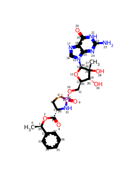 C[C@@H](OC(=O)[C@@H]1CS[P@](=O)(OC[C@H]2O[C@@H](n3cnc4c(=O)[nH]c(N)nc43)[C@](C)(O)[C@@H]2O)N1)c1ccccc1